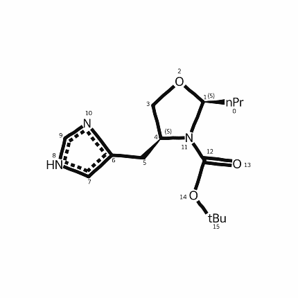 CCC[C@@H]1OC[C@H](Cc2c[nH]cn2)N1C(=O)OC(C)(C)C